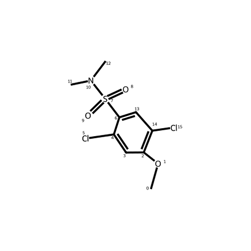 COc1cc(Cl)c(S(=O)(=O)N(C)C)cc1Cl